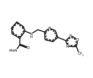 CNC(=O)c1ccccc1NCc1ccc(-c2noc(C(F)(F)F)n2)cn1